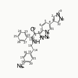 Cn1cc(-c2ccc3c(C(=O)[C@@H](NCCc4ccc(C#N)cc4)c4ccccc4)nnn3c2)cn1